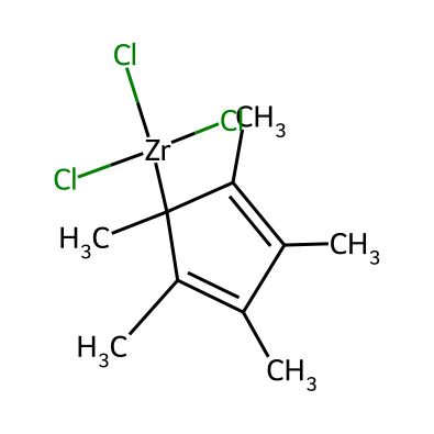 CC1=C(C)[C](C)([Zr]([Cl])([Cl])[Cl])C(C)=C1C